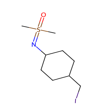 CS(C)(=O)=NC1CCC(CI)CC1